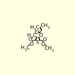 CCOC(=O)c1sc(C(=O)OCC)c(OC(=O)C=C(C)C)c1C